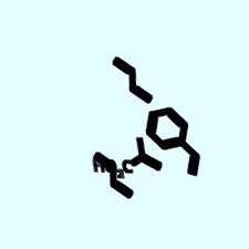 C=C(C)C(=O)O.C=CC=C.C=CC=C.C=Cc1ccccc1